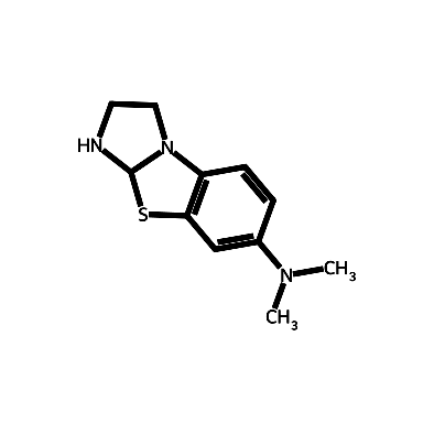 CN(C)c1ccc2c(c1)SC1NCCN21